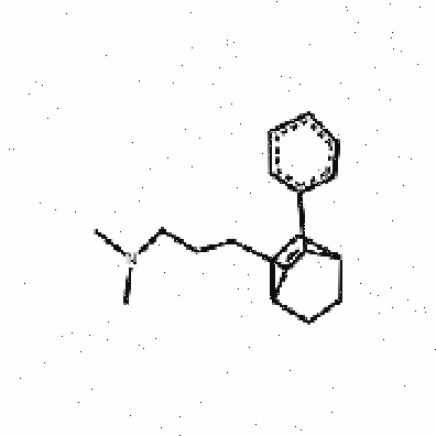 CN(C)CCCC1=C(c2ccccc2)C2CCC1CC2